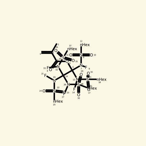 C=C(C)C(=O)OC(N(F)S(=O)(=O)CCCCCC)(N(F)S(=O)(=O)CCCCCC)C(N(F)S(=O)(=O)CCCCCC)(N(F)S(=O)(=O)CCCCCC)N(F)S(=O)(=O)CCCCCC